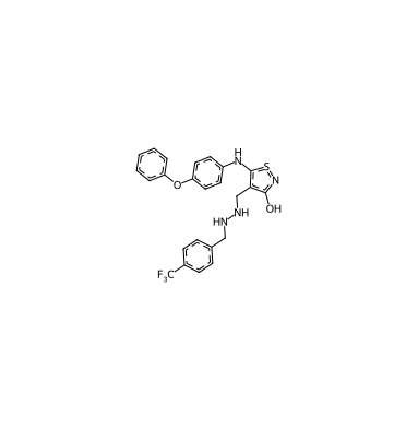 Oc1nsc(Nc2ccc(Oc3ccccc3)cc2)c1CNNCc1ccc(C(F)(F)F)cc1